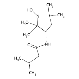 CC(C)CC(=O)NC1CC(C)(C)N(O)C1(C)C